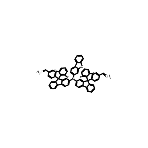 C=Cc1ccc(C2(c3c(F)cccc3F)c3ccccc3-c3ccc(N(c4ccc5c(c4)C(c4ccc(C=C)cc4)(c4c(F)cccc4F)c4ccccc4-5)c4ccc5c(c4)oc4ccccc45)cc32)cc1